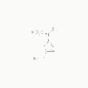 CCN(C(=O)O)c1nc(CO)co1